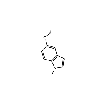 Cn1ccc2cc(OI)ccc21